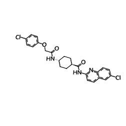 O=C(COc1ccc(Cl)cc1)N[C@H]1CC[C@H](C(=O)Nc2ccc3cc(Cl)ccc3n2)CC1